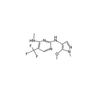 CNc1nc(Nc2cnn(C)c2OC)ncc1C(F)(F)F